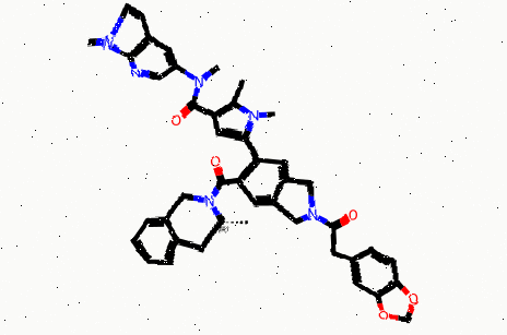 Cc1c(C(=O)N(C)c2cnc3c(ccn3C)c2)cc(-c2cc3c(cc2C(=O)N2Cc4ccccc4C[C@H]2C)CN(C(=O)Cc2ccc4c(c2)OCO4)C3)n1C